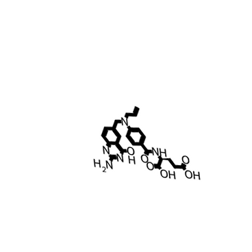 C=CCN(Cc1ccc2nc(N)nc(O)c2c1)c1ccc(C(=O)N[C@@H](CCC(=O)O)C(=O)O)cc1